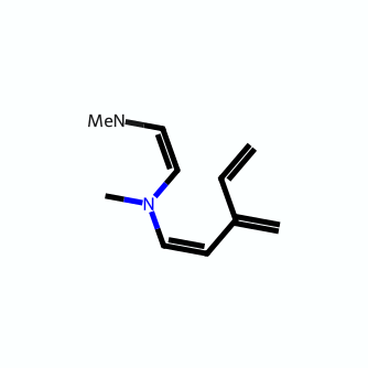 C=CC(=C)/C=C\N(C)/C=C\NC